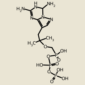 CC(C)(Cc1cnn2c1N=C(N)NC2N)OCP(=O)(O)OP(=O)(O)OP(=O)(O)O